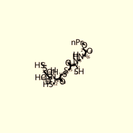 CCCOCC(=O)[C@H](C)NCN[C@@H](CS)C(=O)CSSCC(=O)[C@H](CS)NC(=O)C(O)(O)CSS